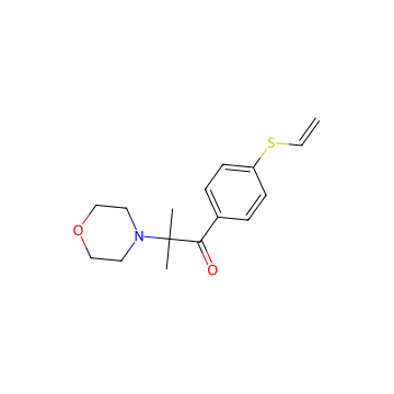 C=CSc1ccc(C(=O)C(C)(C)N2CCOCC2)cc1